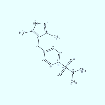 Cc1n[nH]c(C)c1Cc1ccc(S(=O)(=O)N(C)C)cc1